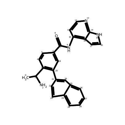 CC(N)c1ccc(C(=O)Nc2ccnc3[nH]ccc23)cc1-c1ccc2ccccc2c1